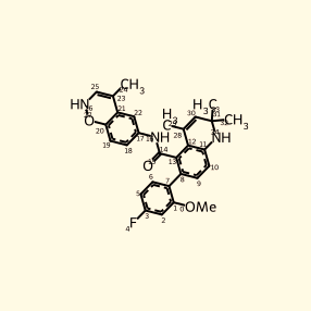 COc1cc(F)ccc1-c1ccc2c(c1C(=O)Nc1ccc3c(c1)C(C)=CNO3)C(C)=CC(C)(C)N2